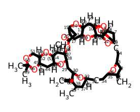 C=C1CC2CC[C@@]34C[C@H]5O[C@H]6[C@@H](O3)[C@H]3OC(CC[C@@H]3O[C@H]6[C@H]5O4)CC(=O)O[C@H]3C(C[C@H]4O[C@@H](CCC1O2)C[C@@H](C)C4=C)O[C@H]1C[C@H]2OC(C)(C)OC[C@H]2O[C@H]1[C@@H]3C